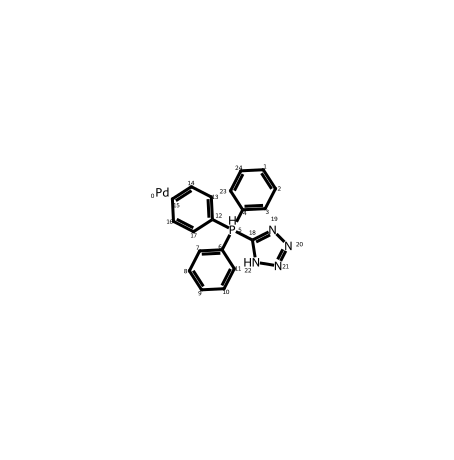 [Pd].c1ccc([PH](c2ccccc2)(c2ccccc2)c2nnn[nH]2)cc1